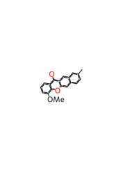 COc1cccc2c(=O)c3cc4cc(C)ccc4cc3oc12